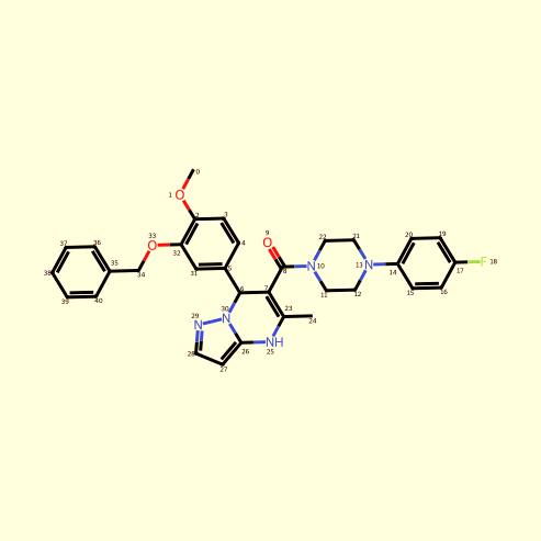 COc1ccc(C2C(C(=O)N3CCN(c4ccc(F)cc4)CC3)=C(C)Nc3ccnn32)cc1OCc1ccccc1